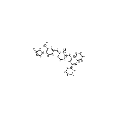 COc1cc(/C=C2\CCCN(Cc3cc(N4CCOCC4)nc4ccccc34)C2=O)ccc1-n1cnc(C)c1